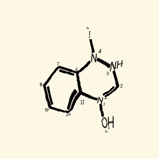 O[N+]1=CNN(I)c2ccccc21